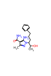 Cc1nn(C(CCCc2ccccc2)C(C)O)c(N)c1C(N)=O